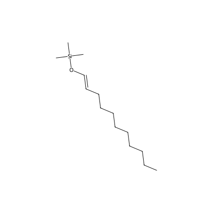 CCCCCCCCC/C=C/O[Si](C)(C)C